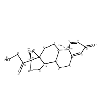 CC12CCC3C(CCC4=CC(=O)C=C[C@@]43C)C1CC[C@]2(O)C(=O)CO